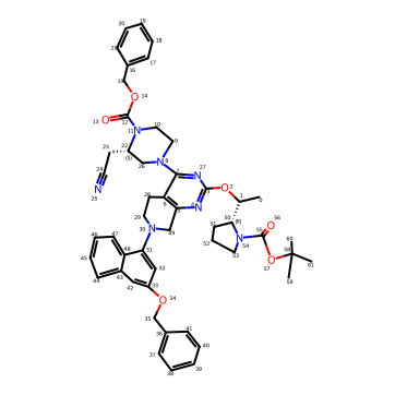 CC(Oc1nc2c(c(N3CCN(C(=O)OCc4ccccc4)[C@@H](CC#N)C3)n1)CCN(c1cc(OCc3ccccc3)cc3ccccc13)C2)[C@H]1CCCN1C(=O)OC(C)(C)C